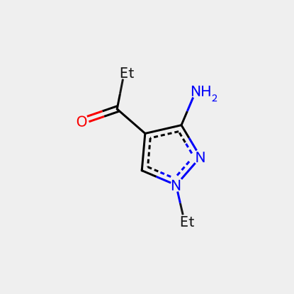 CCC(=O)c1cn(CC)nc1N